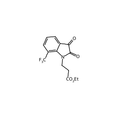 CCOC(=O)CCN1C(=O)C(=O)c2cccc(C(F)(F)F)c21